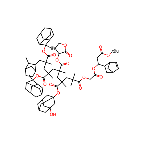 CC1C2CCC(C2)C1CC(C)(CC(C)(CC(C)(CC(C)(CC(C)(C)C(=O)OCC(=O)OC(CC(=O)OC(C)(C)C)C1CC2C=CC1C2)C(=O)OC12CC3CC(CC(O)(C3)C1)C2)C(=O)OC1CCOC1=O)C(=O)OC1(C)C2CC3CC(C2)CC1C3)C(=O)OC1(C(C)C)C2CC3CC(C2)CC1C3